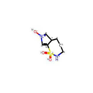 O=S1(=O)NCCCC2C=[N+]([O-])C=C21